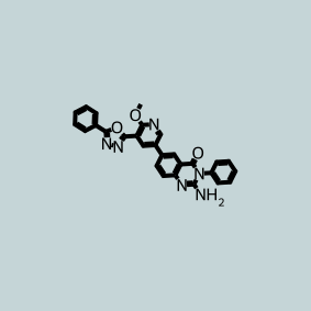 COc1ncc(-c2ccc3nc(N)n(-c4ccccc4)c(=O)c3c2)cc1-c1nnc(-c2ccccc2)o1